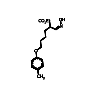 CCOC(=O)C(/C=N\O)CCCCOc1ccc(C)cc1